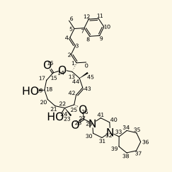 C/C(=C\C=C\C(C)c1ccccc1)[C@H]1OC(=O)C[C@H](O)CC[C@@](C)(O)[C@@H](OC(=O)N2CCN(C3CCCCCC3)CC2)/C=C/[C@@H]1C